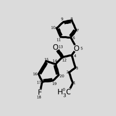 CCCCC(Oc1ccccc1)C(=O)c1ccc(F)cc1